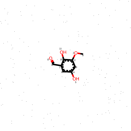 COc1cc(O)cc(C=O)c1O